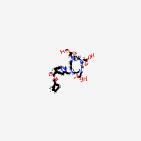 O=C(O)CN1CCN(CC(=O)O)CCN(Cc2cc(C(=O)OCc3ccccc3)ccn2)CCN(CC(=O)O)CC1